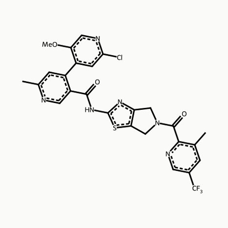 COc1cnc(Cl)cc1-c1cc(C)ncc1C(=O)Nc1nc2c(s1)CN(C(=O)c1ncc(C(F)(F)F)cc1C)C2